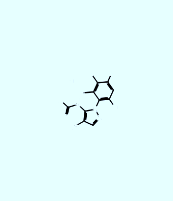 O=C(Nc1c([N+](=O)[O-])cnn1-c1c(Cl)cc(C(F)(F)F)c(Cl)c1Cl)C(F)(F)F.[KH]